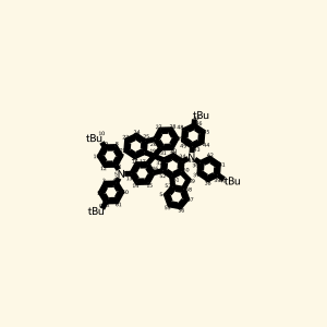 CC(C)(C)c1ccc(N(c2ccc(C(C)(C)C)cc2)c2ccc3c(c2)C2(c4ccccc4-c4ccccc42)c2cc(N(c4ccc(C(C)(C)C)cc4)c4ccc(C(C)(C)C)cc4)c4c(c2-3)-c2ccccc2C4)cc1